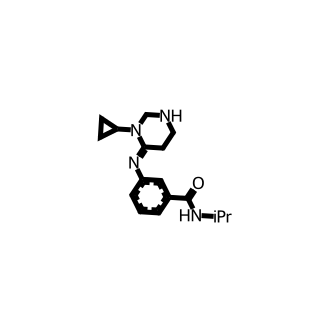 CC(C)NC(=O)c1cccc(N=C2CCNCN2C2CC2)c1